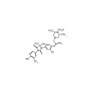 CCc1cc(N2C(=S)N(c3cnc(C#N)c(C(F)(F)F)c3)C(=O)C2(C)C)ccc1O[C@H](C)CN1CC(C)N(C(=O)O)C(C)C1